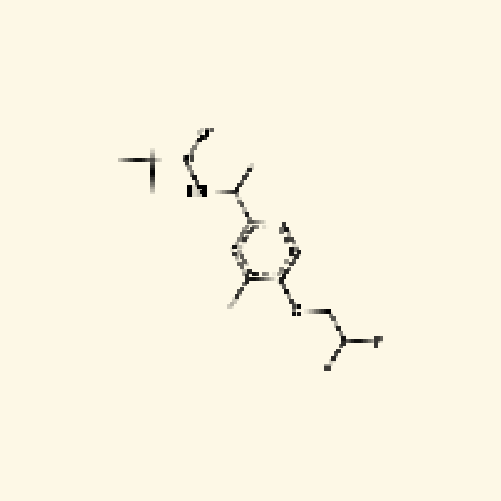 Cc1cc(C(C)N[S+]([O-])C(C)(C)C)ccc1OCC(F)F